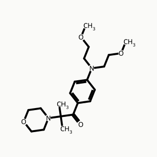 COCCN(CCOC)c1ccc(C(=O)C(C)(C)N2CCOCC2)cc1